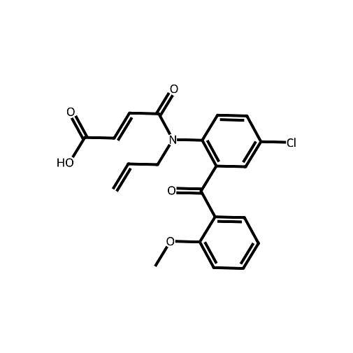 C=CCN(C(=O)/C=C/C(=O)O)c1ccc(Cl)cc1C(=O)c1ccccc1OC